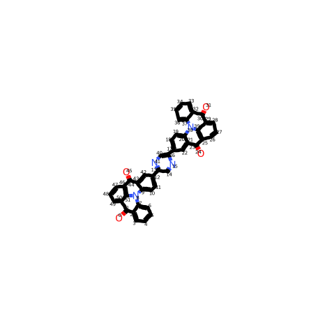 O=c1c2ccccc2n2c3ccc(-c4cnc(-c5ccc6c(c5)c(=O)c5cccc7c(=O)c8ccccc8n6c75)cn4)cc3c(=O)c3cccc1c32